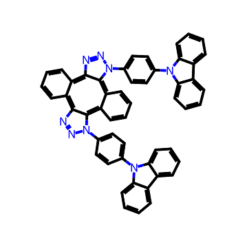 c1ccc2/c(c1)=c1/nnn(-c3ccc(-n4c5ccccc5c5ccccc54)cc3)/c1=c1\cccc\c1=c1\c=2nnn1-c1ccc(-n2c3ccccc3c3ccccc32)cc1